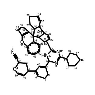 N#CC1CC(C2=CCCC(C3N=C(C4CCCCC4)N=C(C4C=CC5C6C=CCC[C@@H]6C6(C7=C(C=CCC7)Oc7ccccc76)C5C4)N3)=C2)C=CO1